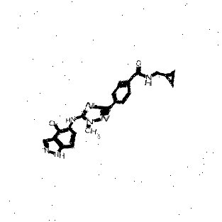 Cn1nc(-c2ccc(C(=O)NCC3CC3)cc2)nc1Nc1ccc2[nH]ncc2c1Cl